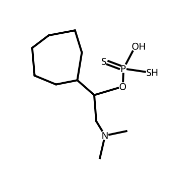 CN(C)CC(OP(O)(=S)S)C1CCCCCC1